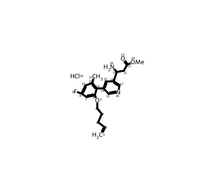 C=CCCCOc1cc(F)cc(C)c1-c1cncc(C(N)CC(=O)OC)c1.Cl